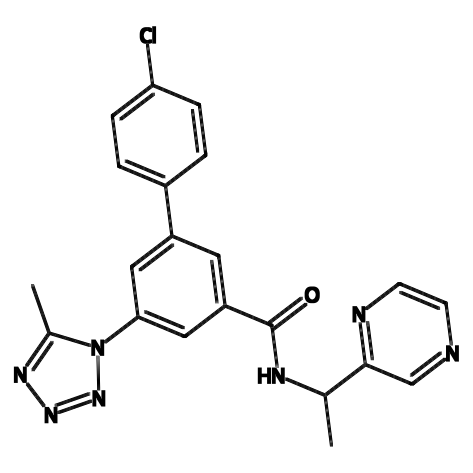 Cc1nnnn1-c1cc(C(=O)NC(C)c2cnccn2)cc(-c2ccc(Cl)cc2)c1